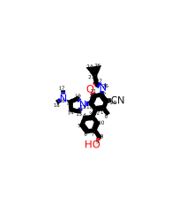 Cc1c(-c2cccc(CO)c2)c(N2CC[C@H](N(C)C)C2)c2oc(C3CC3)nc2c1C#N